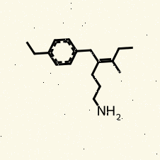 CC/C(C)=C(/CCCN)Cc1ccc(CC)cc1